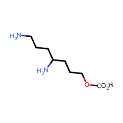 NCCCC(N)CCCOC(=O)O